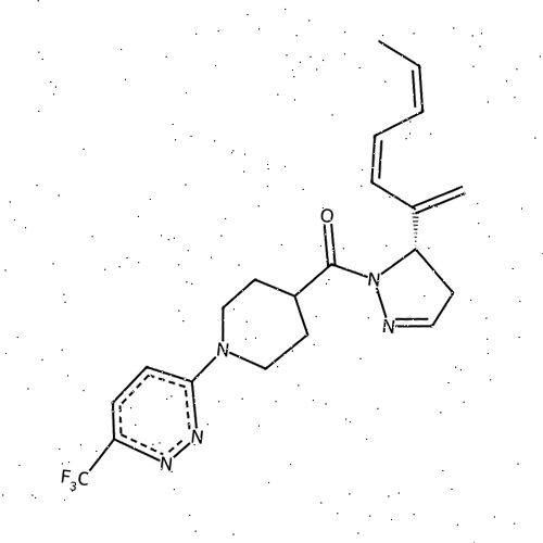 C=C(/C=C\C=C/C)[C@@H]1CC=NN1C(=O)C1CCN(c2ccc(C(F)(F)F)nn2)CC1